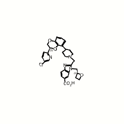 O=C(O)c1ccc2nc(CN3CCC(c4cccc5c4O[C@@H](c4ccc(Cl)cn4)CO5)CC3)n(C[C@@H]3CCO3)c2c1